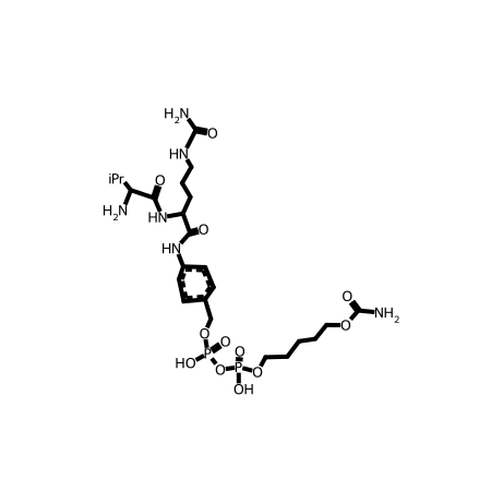 CC(C)C(N)C(=O)NC(CCCNC(N)=O)C(=O)Nc1ccc(COP(=O)(O)OP(=O)(O)OCCCCCOC(N)=O)cc1